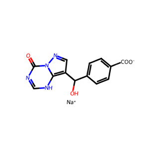 O=C([O-])c1ccc(C(O)c2cnn3c(=O)nc[nH]c23)cc1.[Na+]